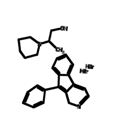 Br.Br.C1=NCC2=C(c3ccccc3)c3ccccc3C2=C1.CC(CO)N1CCCCC1